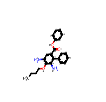 CCCCOc1c(N)cc(C(=O)Oc2ccccc2)c(-c2ccccc2)c1N